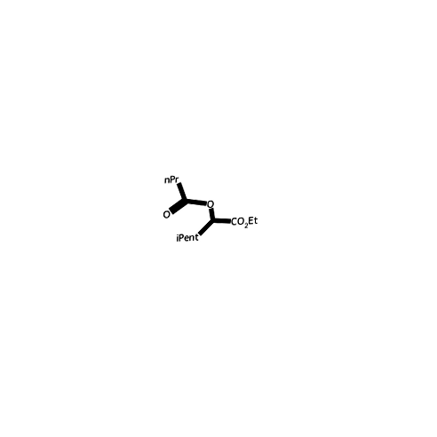 CCCC(=O)OC(C(=O)OCC)C(C)CCC